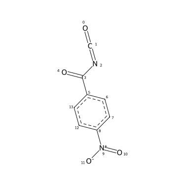 O=C=NC(=O)c1ccc([N+](=O)[O-])cc1